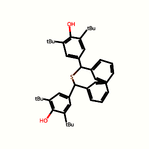 CC(C)(C)c1cc(C(SC(c2ccccc2)c2cc(C(C)(C)C)c(O)c(C(C)(C)C)c2)c2ccccc2)cc(C(C)(C)C)c1O